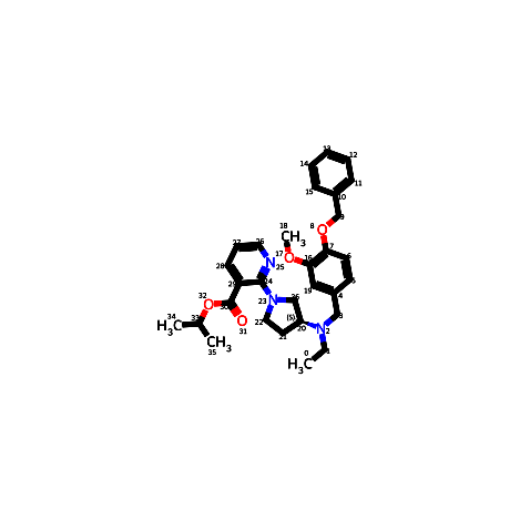 CCN(Cc1ccc(OCc2ccccc2)c(OC)c1)[C@H]1CCN(c2ncccc2C(=O)OC(C)C)C1